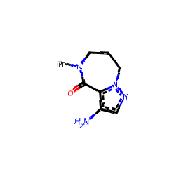 CC(C)N1CCCn2ncc(N)c2C1=O